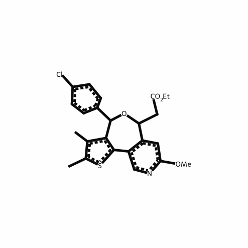 CCOC(=O)CC1OC(c2ccc(Cl)cc2)c2c(sc(C)c2C)-c2cnc(OC)cc21